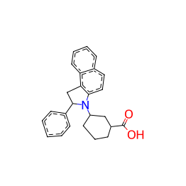 O=C(O)C1CCCC(N2c3ccc4ccccc4c3CC2c2ccccc2)C1